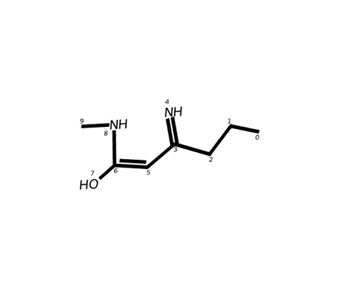 CCCC(=N)/C=C(/O)NC